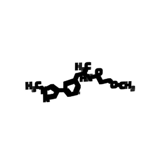 COCCC(=O)NC(C)Cc1c[c]cc(-c2cnn(C)c2)c1